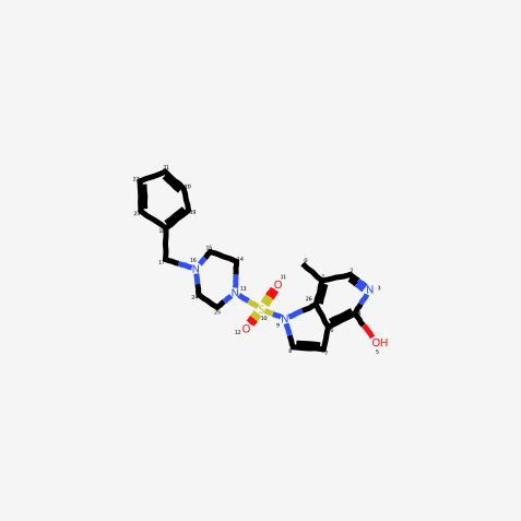 Cc1cnc(O)c2ccn(S(=O)(=O)N3CCN(Cc4ccccc4)CC3)c12